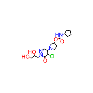 O=C(NC1CCCC1)OC1CCN(c2cnn(CC(O)CO)c(=O)c2Cl)C1